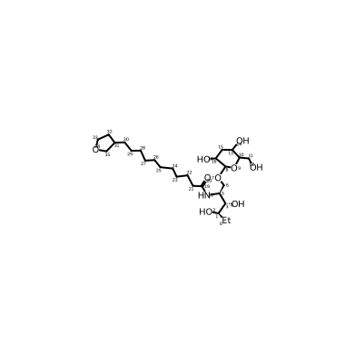 CC[C@@H](O)[C@@H](O)[C@H](COC1OC(CO)C(O)CC1O)NC(=O)CCCCCCCCCCC1CCOC1